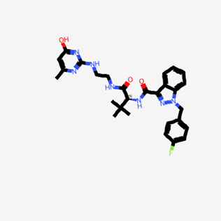 Cc1cc(O)nc(NCCNC(=O)[C@@H](NC(=O)c2nn(Cc3ccc(F)cc3)c3ccccc23)C(C)(C)C)n1